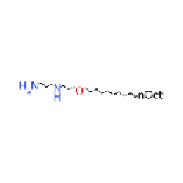 CCCCCCCCC=CCCCCCCCCOCCCNCCCN